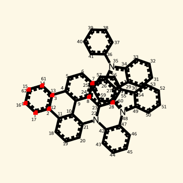 c1ccc(-c2ccccc2-c2c(-c3ccccc3)cccc2N(c2ccc3c(c2)c2ccccc2n3-c2ccccc2)c2ccccc2-n2c3ccccc3c3ccccc32)cc1